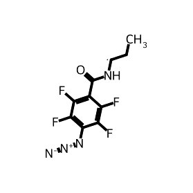 CC[CH]NC(=O)c1c(F)c(F)c(N=[N+]=[N-])c(F)c1F